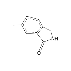 Cc1ccc2c(c1)C(=O)NC2